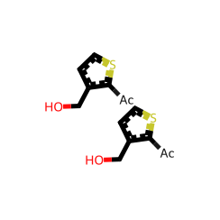 CC(=O)c1sccc1CO.CC(=O)c1sccc1CO